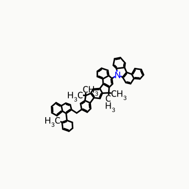 CC1=C(c2c(Cc3ccc4c(c3)C(C)(C)c3cc5c(cc3-4)C(C)(C)c3cc(-n4c6ccccc6c6c7ccccc7ccc64)c4ccccc4c3-5)ccc3ccccc23)CCC=C1